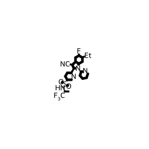 CCc1cc2c(cc1F)c(C#N)c(-c1ccc(S(=O)(=O)N[C@H](C)C(F)(F)F)cn1)n2-c1ccccn1